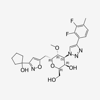 CO[C@@H]1[C@@H](n2cc(-c3ccc(C)c(F)c3F)nn2)[C@@H](O)[C@@H](CO)O[C@@H]1Cc1cc(C2(O)CCCC2)no1